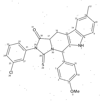 COc1ccc(C2c3[nH]c4ccc(C)cc4c3CC3C(=O)N(c4cccc(Cl)c4)C(=S)N32)cc1